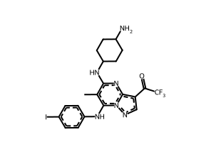 Cc1c(NC2CCC(N)CC2)nc2c(C(=O)C(F)(F)F)cnn2c1Nc1ccc(I)cc1